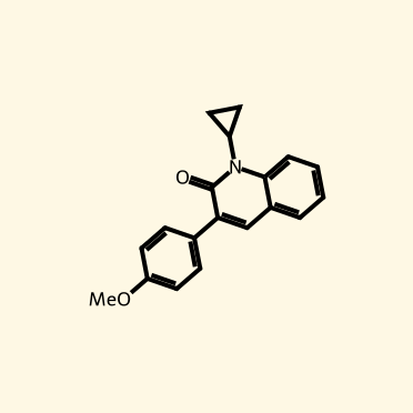 COc1ccc(-c2cc3ccccc3n(C3CC3)c2=O)cc1